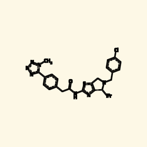 CC(C)C1c2nc(NC(=O)Cc3ccc(-c4nnnn4C)cc3)sc2CN1Cc1ccc(Cl)cc1